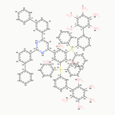 Bc1c(B)c(B)c(-c2cccc(S(c3ccccc3)(c3ccccc3)c3c(B)c(-c4cc(-c5cccc(-c6ccccc6)c5)nc(-c5cccc(-c6ccccc6)c5)n4)c(B)c(S(c4ccccc4)(c4ccccc4)c4cccc(-c5c(B)c(B)c(B)c(B)c5B)c4)c3B)c2)c(B)c1B